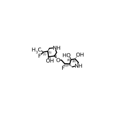 C[C@H](F)[C@H]1CNC[C@@H](OC[C@@H](F)[C@H]2CNC[C@@H](O)[C@@H]2O)[C@@H]1O